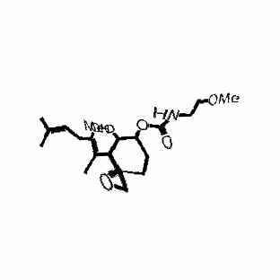 COCCNC(=O)OC1CC[C@]2(CO2)C(/C(C)=C(\O)CC=C(C)C)C1OC